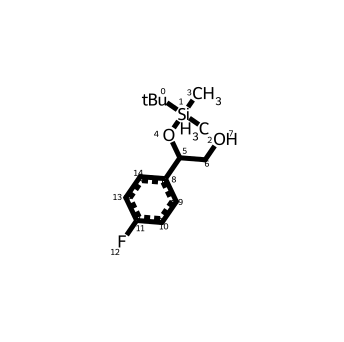 CC(C)(C)[Si](C)(C)OC(CO)c1ccc(F)cc1